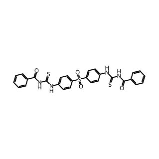 O=C(NC(=S)Nc1ccc(S(=O)(=O)c2ccc(NC(=S)NC(=O)c3ccccc3)cc2)cc1)c1ccccc1